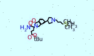 CC(C)(C)OC(=O)CCC(C(N)=O)N1Cc2cc(C3CCN(CCCCS(C)(C)C)CC3)ccc2C1=O